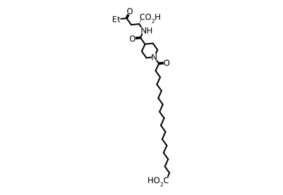 CCC(=O)C[C@@H](NC(=O)C1CCN(C(=O)CCCCCCCCCCCCCCCCC(=O)O)CC1)C(=O)O